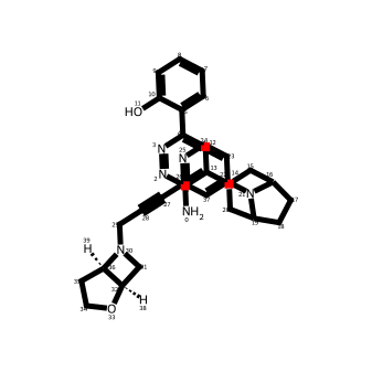 Nc1nnc(-c2ccccc2O)cc1N1CC2CCC(C1)N2c1ccnc(C#CCN2C[C@H]3OCC[C@H]32)c1